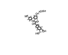 COCCOc1ccc(C(Oc2ccc(C#N)cc2)C(=O)Nc2nc3cc(CO)c(CO)cc3s2)cc1